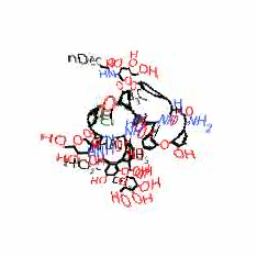 CCCCCCCCCCCC(=O)NC1C(O)[C@H](O)C(CO)O[C@H]1Oc1c2cc3cc1OC1=C(C)C=C(CC1)C[C@H]1NC(=O)[C@H](N)c4ccc(O)c(c4)Oc4cc(O)cc(c4)[C@H](NC1=O)C(=O)N[C@H]3C(=O)N[C@H]1C(=O)N[C@]3(C[C@]3(O[C@@H]3OC(CO)[C@@H](O)C(O)C3NC(C)=O)C3=CC=C(O2)[C@@H](Cl)C3)C(=O)N[C@H](C(=O)O)C2=CC(O)C(C)C(O[C@H]3OC(CO)[C@@H](O)C(O)C3O)=C2C2C(CO)=CC=C1C2C